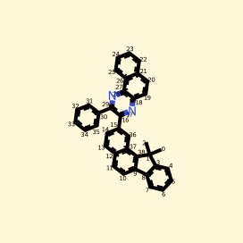 CC1(C)c2ccccc2-c2ccc3ccc(-c4nc5ccc6ccccc6c5nc4-c4ccccc4)cc3c21